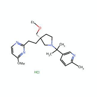 CCOC[C@]1(CCc2nccc(OC)n2)CCN(C(C)(C)c2ccc(C)nc2)C1.Cl